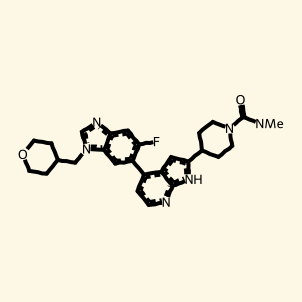 CNC(=O)N1CCC(c2cc3c(-c4cc5c(cc4F)ncn5CC4CCOCC4)ccnc3[nH]2)CC1